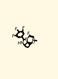 CN1C=C(F)N2C(c3cc(F)c(F)c(F)c3)NC3CCCC(=O)C32C1